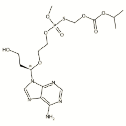 COP(=O)(OCCO[C@H](CCO)n1cnc2c(N)ncnc21)SCOC(=O)OC(C)C